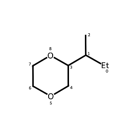 CCC(C)C1COCCO1